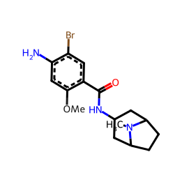 COc1cc(N)c(Br)cc1C(=O)NC1CC2CCC(C1)N2C